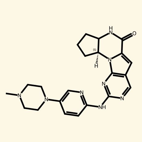 CN1CCN(c2ccc(Nc3ncc4cc5n(c4n3)[C@H]3CCCC3NC5=O)nc2)CC1